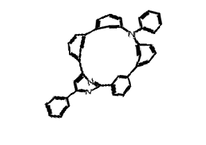 c1ccc(-c2cc3nc(n2)-c2cccc(c2)-c2cccc(c2)N(c2ccccc2)c2cccc(c2)-c2cccc-3c2)cc1